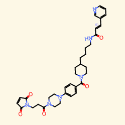 O=C(/C=C/c1cccnc1)NCCCCC1CCN(C(=O)c2ccc(N3CCN(C(=O)CCN4C(=O)C=CC4=O)CC3)cc2)CC1